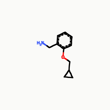 NCc1ccccc1OCC1CC1